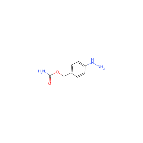 NNc1ccc(COC(N)=O)cc1